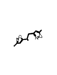 Cc1cc(C(C)Cc2cc(C)on2)on1